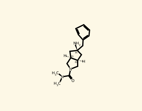 CN(C)C(=O)N1C[C@@H]2C[C@@](N)(Cc3ccccc3)C[C@@H]2C1